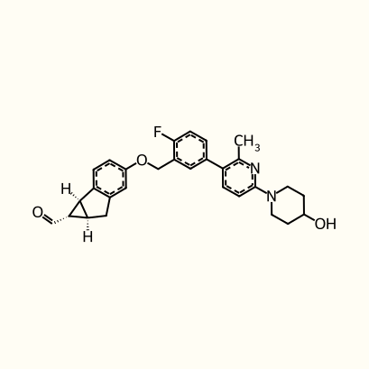 Cc1nc(N2CCC(O)CC2)ccc1-c1ccc(F)c(COc2ccc3c(c2)C[C@H]2[C@H](C=O)[C@@H]32)c1